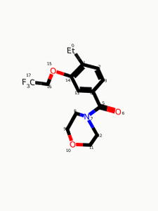 CCc1ccc(C(=O)N2CCOCC2)cc1OCC(F)(F)F